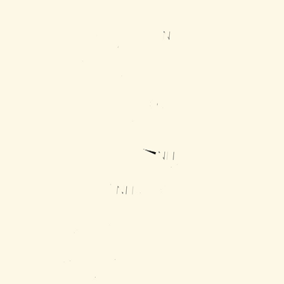 CC(C)(C)c1cncc(OC[C@@H](N)CNCC2(c3ccccc3)CCCC2)c1